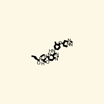 CC#CC(=O)N1CCN2C[C@@H]1COc1cc3ncnc(Nc4ccc(Oc5ccn6ncnc6c5)c(C)c4)c3nc12